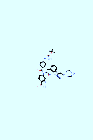 CN1CCN(c2cc(-c3cccc(C[C@@H](C(N)=O)N(c4ccc5c(=O)[nH][nH]c5c4)C(=O)[C@H]4CC[C@H](CNC(=O)OC(C)(C)C)CC4)c3)ccn2)CC1